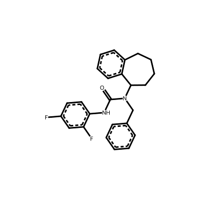 O=C(Nc1ccc(F)cc1F)N(Cc1ccccc1)C1CCCCc2ccccc21